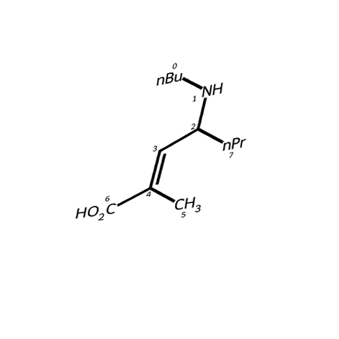 CCCCNC(C=C(C)C(=O)O)CCC